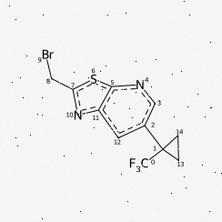 FC(F)(F)C1(c2cnc3sc(CBr)nc3c2)CC1